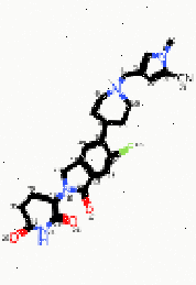 Cn1cc(CN2CCC(c3cc4c(cc3F)C(=O)N(C3CCC(=O)NC3=O)C4)CC2)cc1C#N